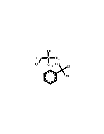 CCC(O)(O)c1ccccc1.C[SiH2][Si](C)(C)C